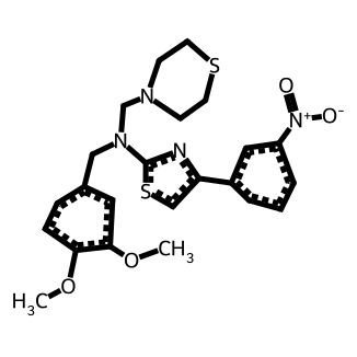 COc1ccc(CN(CN2CCSCC2)c2nc(-c3cccc([N+](=O)[O-])c3)cs2)cc1OC